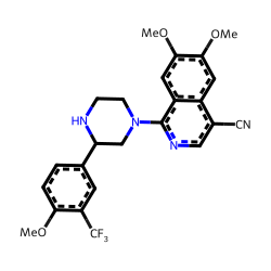 COc1cc2c(C#N)cnc(N3CCNC(c4ccc(OC)c(C(F)(F)F)c4)C3)c2cc1OC